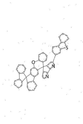 c1ccc2c(c1)Oc1cc3c(cc1C21c2cccnc2-c2ncc(-c4ccc5c(c4)sc4ccccc45)cc21)-c1ccccc1C31c2ccccc2-c2ccccc21